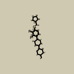 CC1CCC(C2CCC(c3ccc(OCC4CCCC4)c(F)c3F)CC2)CC1